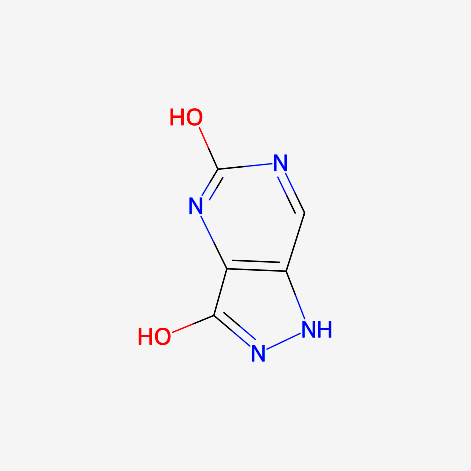 Oc1ncc2[nH]nc(O)c2n1